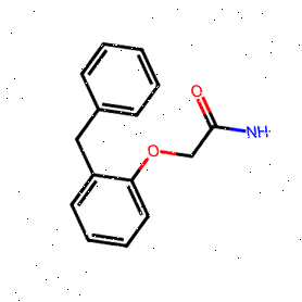 [NH]C(=O)COc1ccccc1Cc1ccccc1